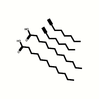 C#CCCCCCC.C#CCCCCCC.CCCCCCCCCCCC(=O)O.CCCCCCCCCCCC(=O)O